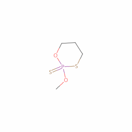 COP1(=S)OCCCS1